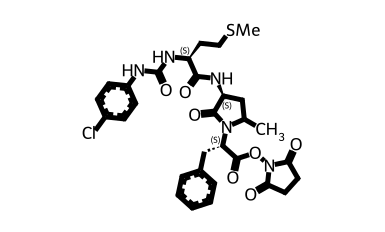 CSCC[C@H](NC(=O)Nc1ccc(Cl)cc1)C(=O)N[C@H]1CC(C)N([C@@H](Cc2ccccc2)C(=O)ON2C(=O)CCC2=O)C1=O